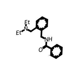 CCN(CC)Cc1ccccc1CNC(=O)c1[c]cccc1